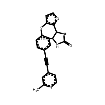 Cc1cc(C#Cc2ccc(Sc3ccoc3C3NC(=O)NC3O)cc2)ccn1